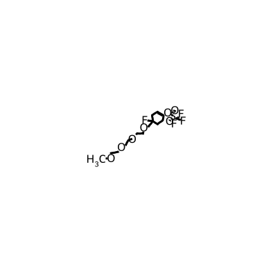 COCCOCCOCCOCC1(F)CC=C(OS(=O)(=O)C(F)(F)F)CC1